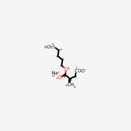 C=C(CC(=O)[O-])C(=O)OCCCCCCCCCCCC.[Na+]